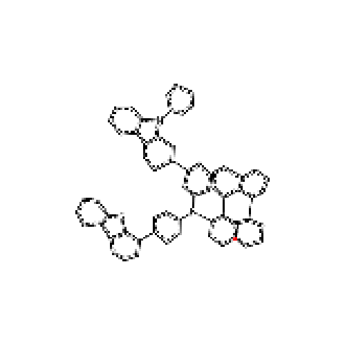 c1ccc(-c2cccc3cccc(-c4ccccc4N(c4ccc(-c5cccc6c5sc5ccccc56)cc4)c4cccc(-c5ccc6c7ccccc7n(-c7ccccc7)c6c5)c4)c23)cc1